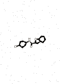 O=C(Nc1ccc(Cl)cc1)c1cc2ccccc2o1